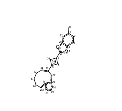 Cc1ccc2nc(C34CC(C5=C\CCC\C=c6/cccc/c6=C/5)(C3)C4)oc2c1